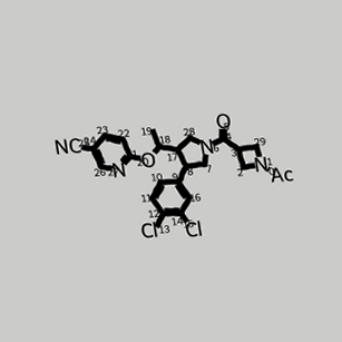 CC(=O)N1CC(C(=O)N2CC(c3ccc(Cl)c(Cl)c3)C(C(C)Oc3ccc(C#N)cn3)C2)C1